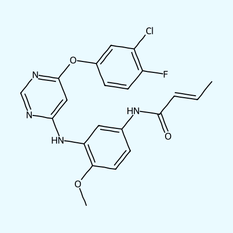 C/C=C/C(=O)Nc1ccc(OC)c(Nc2cc(Oc3ccc(F)c(Cl)c3)ncn2)c1